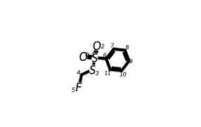 O=S(=O)(SCF)c1ccccc1